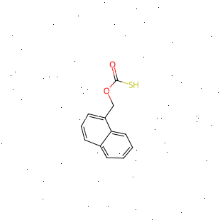 O=C(S)OCc1cccc2ccccc12